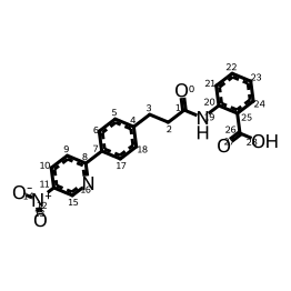 O=C(CCc1ccc(-c2ccc([N+](=O)[O-])cn2)cc1)Nc1ccccc1C(=O)O